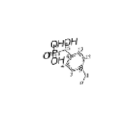 CCc1ccc(C(O)P(=O)(O)O)cc1